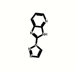 c1cnc2[nH]c(-n3ccnn3)nc2c1